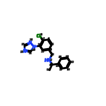 C[C@@H](NCc1ccc(Cl)c(-n2cncn2)c1)c1ccccc1